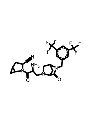 N#CC1CC2CC2N1C(=O)C(N)CN1CC2CC1C(=O)N2Cc1cc(C(F)(F)F)cc(C(F)(F)F)c1